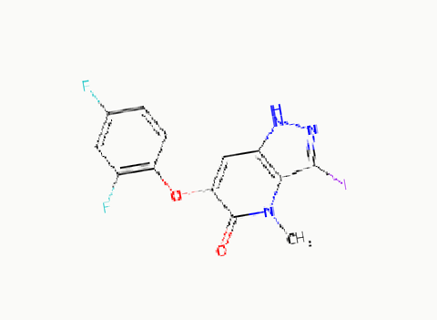 Cn1c(=O)c(Oc2ccc(F)cc2F)cc2[nH]nc(I)c21